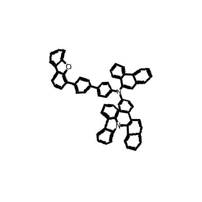 c1ccc2c(-n3c4ccccc4c4ccccc43)c(-c3ccc(N(c4ccc(-c5ccc(-c6cccc7c6oc6ccccc67)cc5)cc4)c4cc5ccccc5c5ccccc45)cc3)ccc2c1